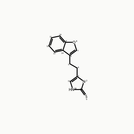 S=C1[N]C(CCc2coc3ccccc23)=CN1